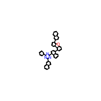 c1ccc(-c2nc(-c3ccc4ccccc4c3)nc(-c3ccc(-c4cccc5oc6c(-c7ccc8ccccc8c7)cccc6c45)c4ccccc34)n2)cc1